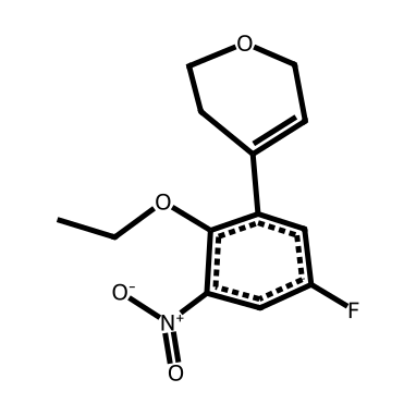 CCOc1c(C2=CCOCC2)cc(F)cc1[N+](=O)[O-]